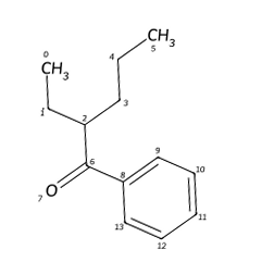 C[CH]C(CCC)C(=O)c1ccccc1